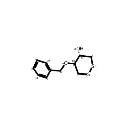 O[C@@H]1CSSC[C@H]1OCc1ccccc1